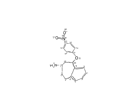 NC1CCc2ccccc2C(Oc2ccc([N+](=O)[O-])cc2)C1